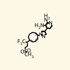 CS(=O)(=O)CCC(/C1=C/C=C\C(n2cc(-c3ccnc(N)c3N)cn2)=C/CCC1)C(F)(F)F